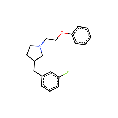 Fc1cccc(CC2CCN(CCOc3ccccc3)C2)c1